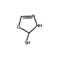 SC1NN=CO1